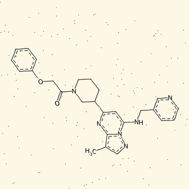 Cc1cnn2c(NCc3cccnc3)cc(C3CCCN(C(=O)COc4ccccc4)C3)nc12